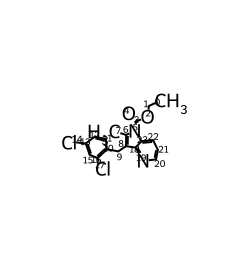 CCOC(=O)n1c(C)c(Cc2ccc(Cl)cc2Cl)c2ncccc21